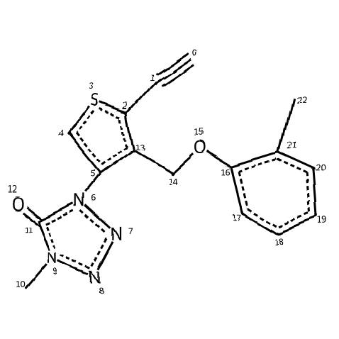 C#Cc1scc(-n2nnn(C)c2=O)c1COc1ccccc1C